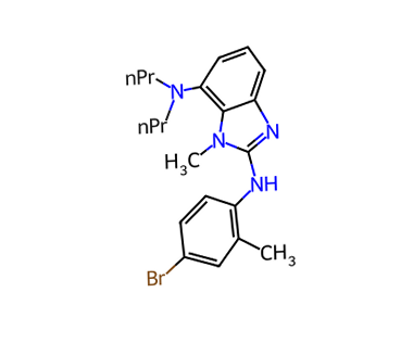 CCCN(CCC)c1cccc2nc(Nc3ccc(Br)cc3C)n(C)c12